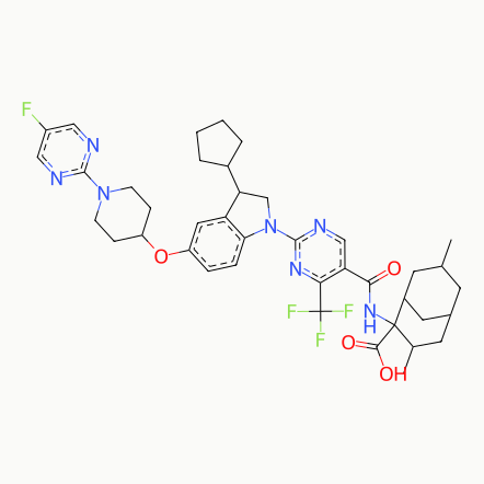 CC1CC2CC(C)C(NC(=O)c3cnc(N4CC(C5CCCC5)c5cc(OC6CCN(c7ncc(F)cn7)CC6)ccc54)nc3C(F)(F)F)(C(=O)O)C(C1)C2